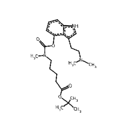 CN(C)CCc1c[nH]c2cccc(OC(=O)N(C)CCCCC(=O)OC(C)(C)C)c12